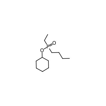 CCCCP(=O)(CC)OC1CCCCC1